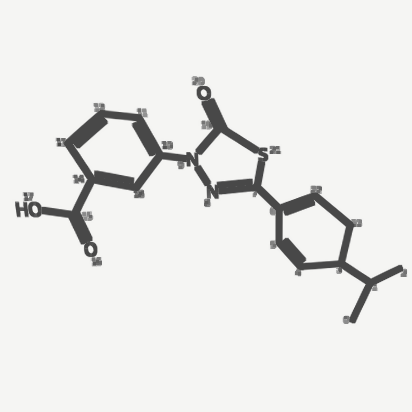 CC(C)C1C=CC(c2nn(-c3cccc(C(=O)O)c3)c(=O)s2)=CC1